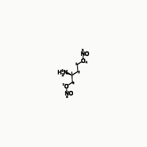 N[C@@H](CCON=O)CON=O